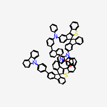 c1ccc(N(c2cccc(-c3cccc4c(N(c5ccccc5)c5cccc6c5-c5c(sc7ccccc57)C65c6ccccc6-c6ccc(-c7ccc(-n8c9ccccc9c9ccccc98)cc7)cc65)cccc34)c2)c2ccc3c(c2)-c2c(sc4ccccc24)C32c3ccccc3-c3cc(-n4c5ccccc5c5ccccc54)ccc32)cc1